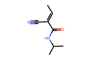 C/C=C(\C#N)C(=O)NC(C)C